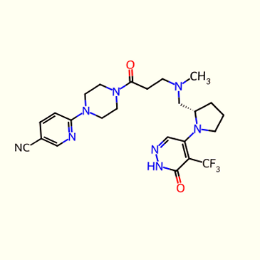 CN(CCC(=O)N1CCN(c2ccc(C#N)cn2)CC1)C[C@@H]1CCCN1c1cn[nH]c(=O)c1C(F)(F)F